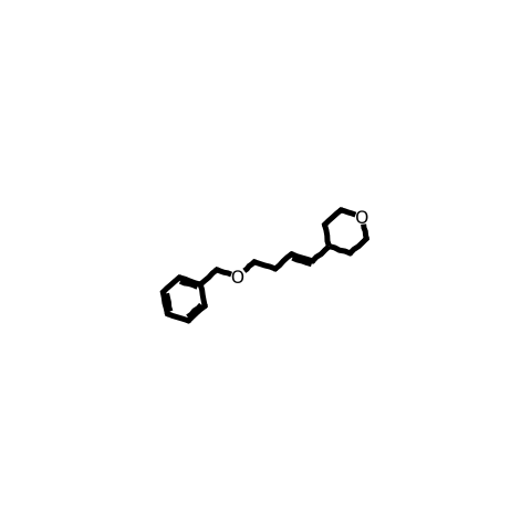 C(=CC1CCOCC1)CCOCc1ccccc1